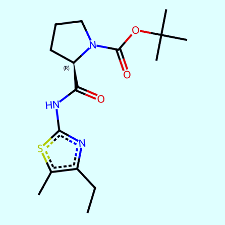 CCc1nc(NC(=O)[C@H]2CCCN2C(=O)OC(C)(C)C)sc1C